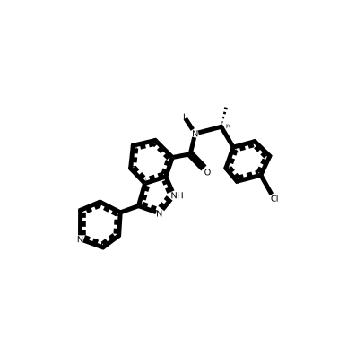 C[C@H](c1ccc(Cl)cc1)N(I)C(=O)c1cccc2c(-c3ccncc3)n[nH]c12